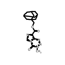 Cn1nnc2c(C(=O)OCC34CC5CC(CC(C5)C3)C4)ncn2c1=O